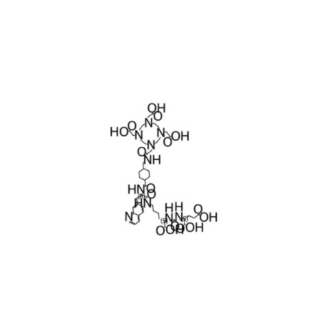 O=C(O)CC[C@H](NC(=O)N[C@@H](CCCCNC(=O)[C@@H](Cc1ccc2cccnc2c1)NC(=O)C1CCC(CNC(=O)CN2CCN(CC(=O)O)CCN(CC(=O)O)CCN(CC(=O)O)CC2)CC1)C(=O)O)C(=O)O